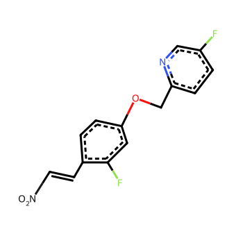 O=[N+]([O-])C=Cc1ccc(OCc2ccc(F)cn2)cc1F